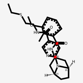 CCSCCNC(=O)c1ccc(N2[C@@H]3CC[C@H]2C[C@@H](NC(=O)c2cccc(OC)c2C)C3)nc1